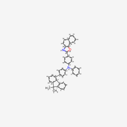 CC1(C)c2ccccc2-c2c(-c3ccc(N(c4ccccc4)c4ccc(-c5nc6ccc7ccccc7c6o5)cc4)cc3)cccc21